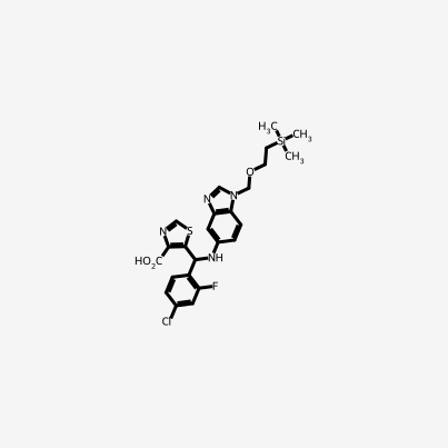 C[Si](C)(C)CCOCn1cnc2cc(NC(c3ccc(Cl)cc3F)c3scnc3C(=O)O)ccc21